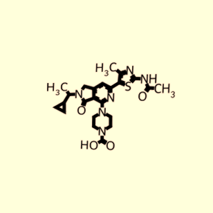 CC(=O)Nc1nc(C)c(-c2cc3c(c(N4CCN(C(=O)O)CC4)n2)C(=O)N(C(C)C2CC2)C3)s1